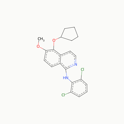 COc1ccc2c(Nc3c(Cl)cccc3Cl)nccc2c1OC1CCCC1